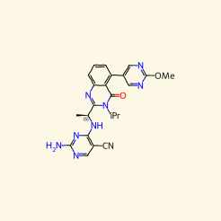 COc1ncc(-c2cccc3nc([C@H](C)Nc4nc(N)ncc4C#N)n(C(C)C)c(=O)c23)cn1